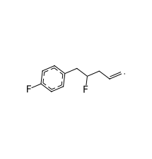 [CH]=CCC(F)Cc1ccc(F)cc1